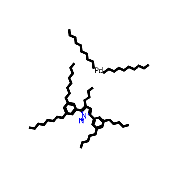 CCCCCCCCC[CH2][Pd][CH2]CCCCCCCCC.CCCCCCCCc1cc(CCCCCCCC)cc(C2=C(CCCC)C=C(c3cc(CCCCC)cc(CCCCC)c3)[N+]2=[N-])c1